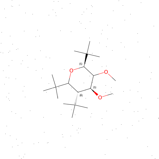 COC1[C@@H](OC)[C@H](C(C)(C)C)C(C(C)(C)C)O[C@H]1C(C)(C)C